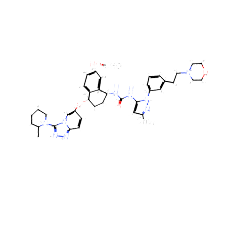 CC1CCCCN1c1nnc2ccc(O[C@@H]3CC[C@H](NC(=O)Nc4cc(C(C)(C)C)nn4-c4cccc(CCN5CCOCC5)c4)c4ccccc43)cn12.O=CO